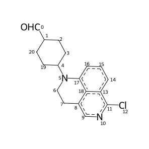 O=CC1CCC(N2CCc3cnc(Cl)c4cccc2c34)CC1